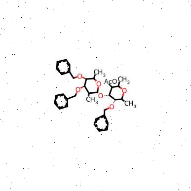 CC(=O)OC1C(C)OC(C)[C@H](OCc2ccccc2)[C@@H]1O[C@@H]1OC(C)[C@H](OCc2ccccc2)[C@H](OCc2ccccc2)C1C